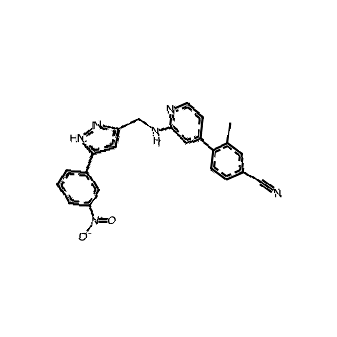 Cc1cc(C#N)ccc1-c1ccnc(NCc2cc(-c3cccc([N+](=O)[O-])c3)[nH]n2)c1